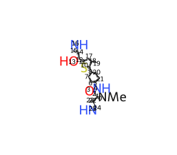 CN/C(C(=O)Nc1ccc(-c2sc(/C(O)=C/C=N)cc2C)cc1)=C(/C)C=N